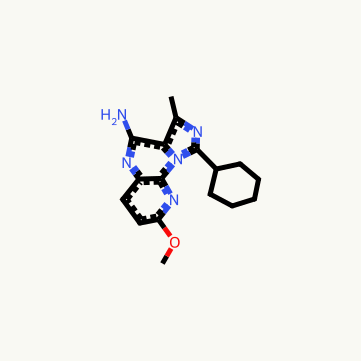 COc1ccc2nc(N)c3c(C)nc(C4CCCCC4)n3c2n1